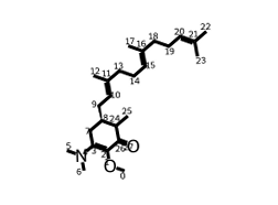 COC1=C(N(C)C)C[C@@H](C/C=C(\C)CC/C=C(\C)CCC=C(C)C)C(C)C1=O